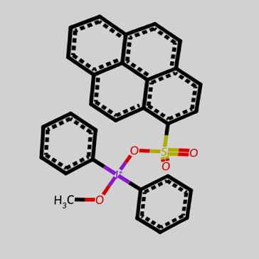 CO[I+](OS(=O)(=O)c1ccc2ccc3cccc4ccc1c2c34)(c1ccccc1)c1ccccc1